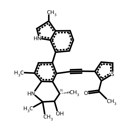 CC(=O)c1sccc1C#Cc1c(-c2cccc3c(C)c[nH]c23)cc(C)c2c1[C@H](C)C(O)C(C)(C)N2